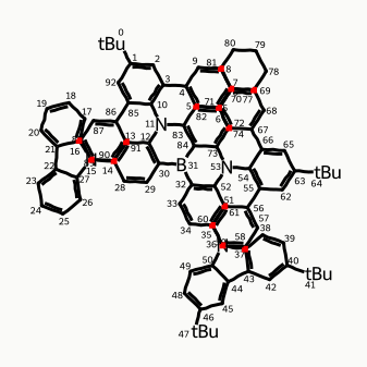 CC(C)(C)c1cc(-c2ccccc2)c(N2c3cc(-n4c5ccccc5c5ccccc54)ccc3B3c4ccc(-n5c6ccc(C(C)(C)C)cc6c6cc(C(C)(C)C)ccc65)cc4N(c4c(-c5ccccc5)cc(C(C)(C)C)cc4-c4ccccc4)c4cc(C5CCCCC5)cc2c43)c(-c2ccccc2)c1